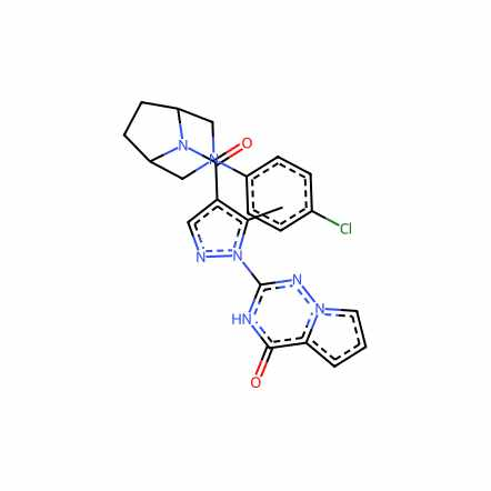 Cc1c(C(=O)N2C3CCC2CN(c2ccc(Cl)cc2)C3)cnn1-c1nn2cccc2c(=O)[nH]1